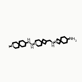 NC1CCC2(CC1)CN(NCC1CC3(CCN(NNC4CCC5(CC4)CCN(I)CC5)CC3)C1)C2